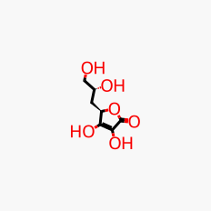 O=C1O[C@H](C[C@@H](O)CO)C(O)=C1O